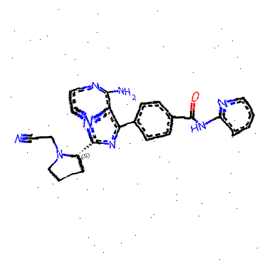 N#CCN1CCC[C@H]1c1nc(-c2ccc(C(=O)Nc3ccccn3)cc2)c2c(N)nccn12